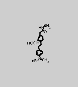 CCCN(C)c1ccc(CCc2ccc(CC(=O)NN)cc2)cc1.Cl.Cl